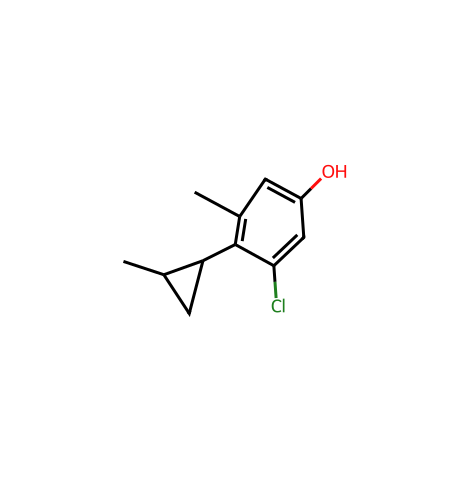 Cc1cc(O)cc(Cl)c1C1CC1C